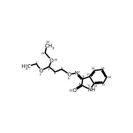 CCOC(CCON=C1C(=O)Nc2ccccc21)OCC